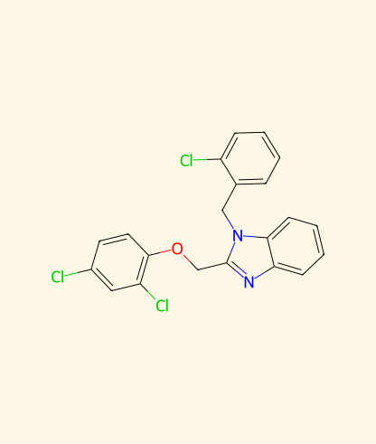 Clc1ccc(OCc2nc3ccccc3n2Cc2ccccc2Cl)c(Cl)c1